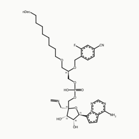 C=NC[C@]1(COP(=O)(O)OC[C@@H](COCCCCCCCCCCCCCCCCCC)OCc2ccc(C#N)cc2F)O[C@@H](c2ccc3c(N)ncnn23)[C@H](O)[C@@H]1O